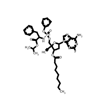 C#CC1(CO[P@@](=O)(NC(Cc2ccccc2)C(=O)OC(C)C)Oc2ccccc2)OC(n2cnc3c(N)nc(F)nc32)CC1OC(=O)CCCCCCCC